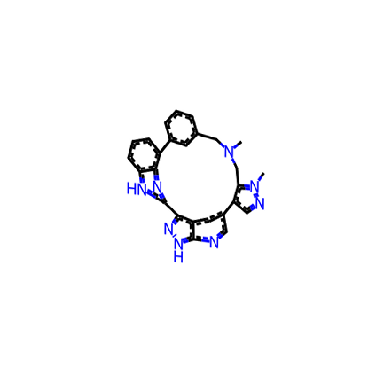 CN1Cc2cccc(c2)-c2cccc3[nH]c(nc23)-c2n[nH]c3ncc(cc23)-c2cnn(C)c2C1